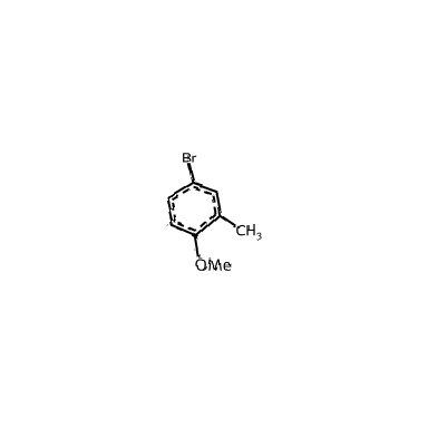 COc1[c]cc(Br)cc1C